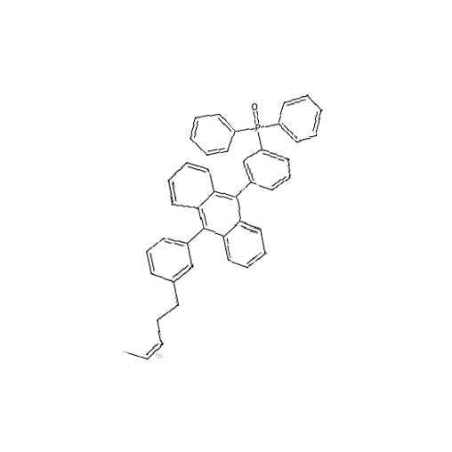 C/C=C\CCc1cccc(-c2c3ccccc3c(-c3cccc(P(=O)(c4ccccc4)c4ccccc4)c3)c3ccccc23)c1